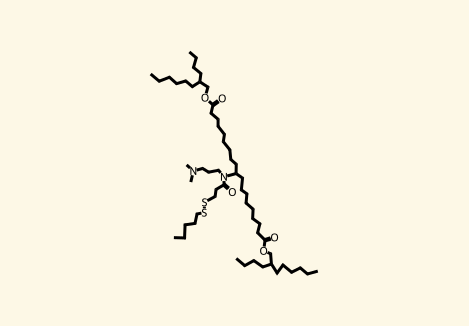 CCCCCCC(CCCC)COC(=O)CCCCCCCCC(CCCCCCCCC(=O)OCC(CCCC)CCCCCC)N(CCCN(C)C)C(=O)CCSSCCCCC